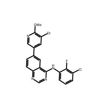 CCc1cc(-c2ccc3ncnc(Nc4cccc(Cl)c4F)c3c2)cnc1OC